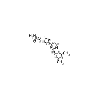 Cc1cc(C)cc(Nc2nccc(-c3nc(COC(N)=O)cs3)n2)c1